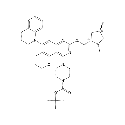 CN1C[C@H](F)C[C@H]1COc1nc(N2CCN(C(=O)OC(C)(C)C)CC2)c2c3c(c(N4CCCc5ccccc54)cc2n1)CCCO3